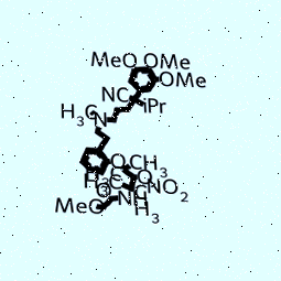 COCC(=O)NC(C)(C)C(O[N+](=O)[O-])C(C)(C)Oc1ccccc1CCN(C)CCCC(C#N)(c1cc(OC)c(OC)c(OC)c1)C(C)C